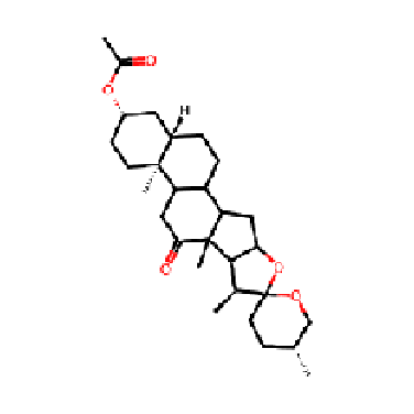 CC(=O)O[C@H]1CC[C@]2(C)C3CC(=O)C4(C)C(CC5OC6(CC[C@@H](C)CO6)[C@@H](C)C54)C3CC[C@H]2C1